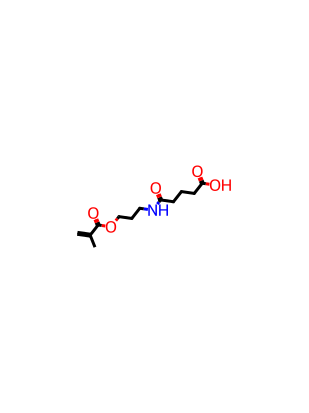 C=C(C)C(=O)OCCCNC(=O)CCCC(=O)O